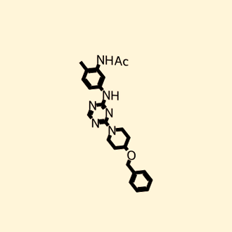 CC(=O)Nc1cc(Nc2ncnc(N3CCC(OCc4ccccc4)CC3)n2)ccc1C